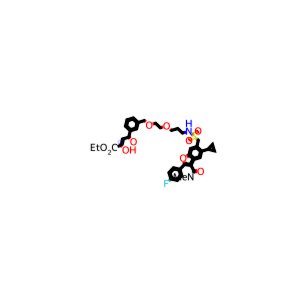 CCOC(=O)/C(O)=C/C(=O)c1cccc(COCCOCCCNS(=O)(=O)Cc2cc3oc(-c4ccc(F)cc4)c(C(=O)NC)c3cc2C2CC2)c1